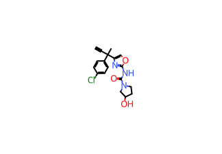 C#CC(C)(c1ccc(Cl)cc1)c1coc(NC(=O)N2CCC(O)C2)n1